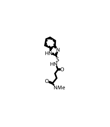 CNC(=O)CCC(=O)NSc1nc2ccccc2[nH]1